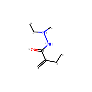 C=C(CC)C(=O)NN(C)CC